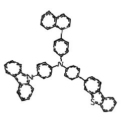 c1ccc2c(-c3ccc(N(c4ccc(-c5ccc6c(c5)sc5ccccc56)cc4)c4ccc(-n5c6ccccc6c6ccccc65)cc4)cc3)cccc2c1